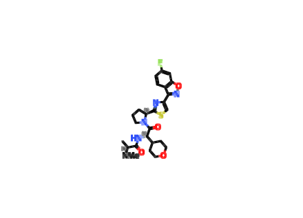 CN[C@@H](C)C(=O)N[C@H](C(=O)N1CCC[C@H]1c1nc(-c2noc3cc(F)ccc23)cs1)C1CCOCC1